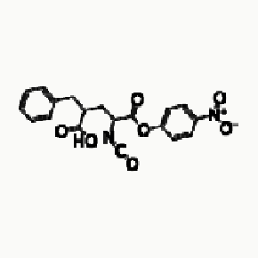 O=C=NC(CC(Cc1ccccc1)C(=O)O)C(=O)Oc1ccc([N+](=O)[O-])cc1